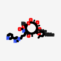 CC[C@H]1OC(=O)[C@H](C)C(=O)[C@H](C)[C@@H](O[C@H]2C[C@@H](NC)C[C@@H](C)O2)[C@](C)(OC)C[C@@H](C)C(=O)[C@@H]2C(CCCn3cnc(-c4cccnc4)c3)N3C(=O)O[C@@]1(C)C23